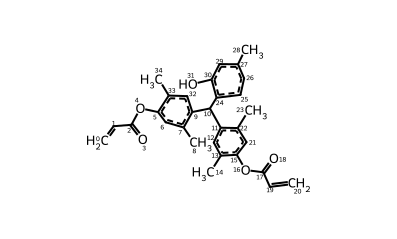 C=CC(=O)Oc1cc(C)c(C(c2cc(C)c(OC(=O)C=C)cc2C)c2ccc(C)cc2O)cc1C